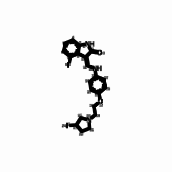 O=C1Nc2cccc(F)c2C1=CNc1ccc(OCCN2CCC(F)C2)cc1